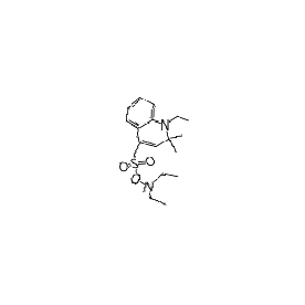 CCN(CC)OS(=O)(=O)CC1=CC(C)(C)N(CC)c2ccccc21